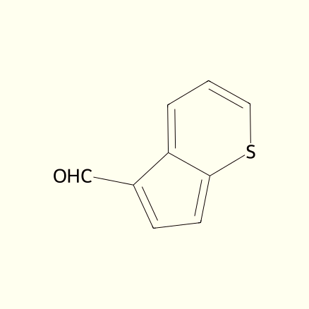 O=Cc1ccc2scccc1-2